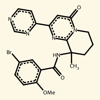 COc1ccc(Br)cc1C(=O)NC1(C)CCCn2c1nc(-c1ccncn1)cc2=O